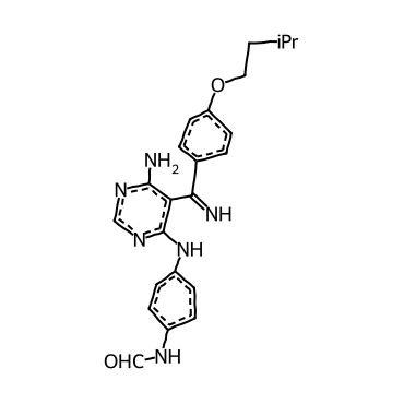 CC(C)CCOc1ccc(C(=N)c2c(N)ncnc2Nc2ccc(NC=O)cc2)cc1